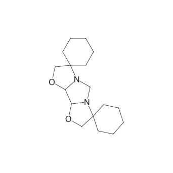 C1CCC2(CC1)COC1C3OCC4(CCCCC4)N3CN12